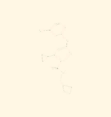 N#Cc1cccc(Nc2cc(C3CC3)c(C(=O)NCC3CCC3)cn2)c1